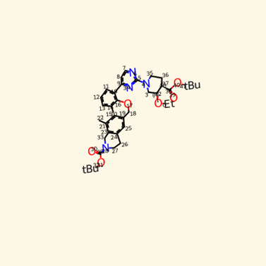 CCO[C@H]1CN(c2nccc(-c3cccc(C)c3OCc3cc(C)c4c(c3)CCN(C(=O)OC(C)(C)C)C4)n2)CC[C@H]1C(=O)OC(C)(C)C